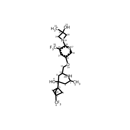 CC1CC(O)(C23CC(C(F)(F)F)(C2)C3)CC(COc2cnc(N3CC(C)(O)C3)c(C(F)(F)F)c2)N1